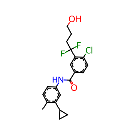 Cc1ccc(NC(=O)c2ccc(Cl)c(C(F)(F)CCCO)c2)cc1C1CC1